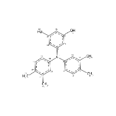 Cc1ccc(N(c2cc(O)cc(O)c2)c2ccc(C)c(C)c2)cc1C